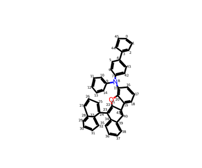 c1ccc(-c2ccc(N(c3ccccc3)c3cccc4c3oc3c(-c5cccc6ccccc56)c5ccccc5cc34)cc2)cc1